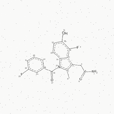 Cc1c(CC(N)=O)c2c(F)c(O)ccc2n1C(=O)c1cccc(F)c1